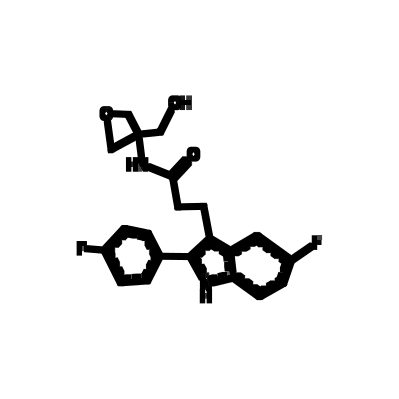 O=C(CCc1c(-c2ccc(F)cc2)[nH]c2ccc(F)cc12)NC1(CO)COC1